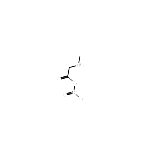 CNCC(=O)O[N+](=O)[O-]